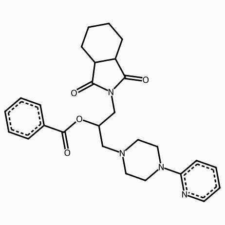 O=C(OC(CN1CCN(c2ccccn2)CC1)CN1C(=O)C2CCCCC2C1=O)c1ccccc1